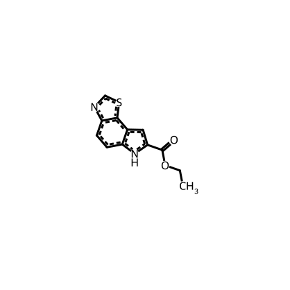 CCOC(=O)c1cc2c(ccc3ncsc32)[nH]1